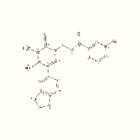 CCN1C=CCC(C(=O)OCOC(=O)N(C)C(C)C(=O)c2ccc3c(c2)OCO3)=C1